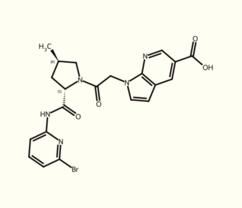 C[C@@H]1C[C@@H](C(=O)Nc2cccc(Br)n2)N(C(=O)Cn2ccc3cc(C(=O)O)cnc32)C1